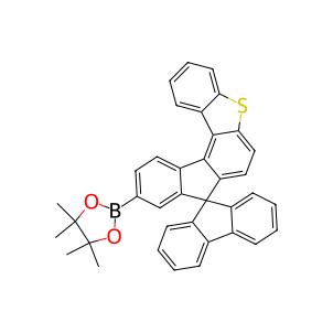 CC1(C)OB(c2ccc3c(c2)C2(c4ccccc4-c4ccccc42)c2ccc4sc5ccccc5c4c2-3)OC1(C)C